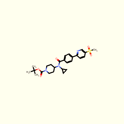 CC(C)(C)OC(=O)N1CCC(N(C(=O)c2ccc(-c3ccc(S(C)(=O)=O)cn3)cc2)C2CC2)CC1